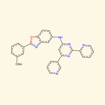 COc1cccc(-c2nc3cc(Nc4cc(-c5cccnc5)nc(-c5ccccn5)n4)ccc3o2)c1